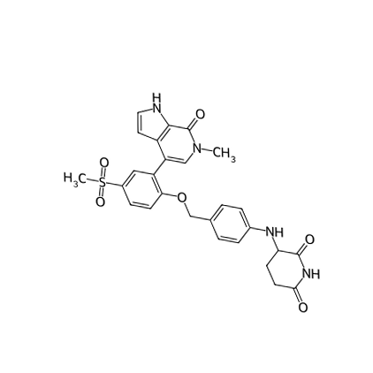 Cn1cc(-c2cc(S(C)(=O)=O)ccc2OCc2ccc(NC3CCC(=O)NC3=O)cc2)c2cc[nH]c2c1=O